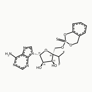 Nc1ncnc2c1ncn2[C@@H]1O[C@@](COP2(=S)OCc3ccccc3O2)(C(F)F)[C@@H](O)[C@H]1O